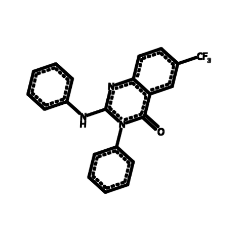 O=c1c2cc(C(F)(F)F)ccc2nc(Nc2ccccc2)n1-c1ccccc1